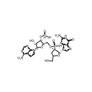 Nc1nc2c(ncn2[C@@H]2OC(CO)C[C@H]2P(=O)(S)OC[C@H]2O[C@@H](n3ccc4c(N)ncnc43)[C@H](O)[C@@H]2O[PH](=O)S)c(=O)[nH]1